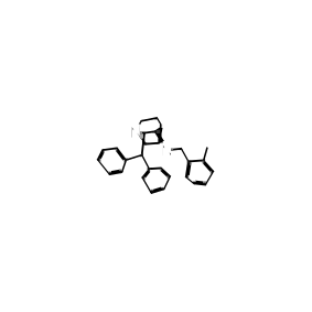 Cc1ccccc1C/N=C1\C2CCN(CC2)C1C(c1ccccc1)c1ccccc1